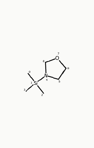 C[Si](C)(C)N1CCOC1